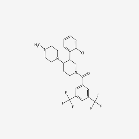 CN1CCN(C2CCN(C(=O)c3cc(C(F)(F)F)cc(C(F)(F)F)c3)CC2c2ccccc2Cl)CC1